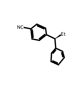 CC[C@@H](c1ccccc1)c1ccc(C#N)cc1